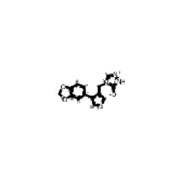 O=c1[nH]ncn1Cc1cscc1-c1ccc2c(c1)OCO2